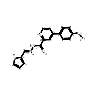 CCOc1ccc(-c2ccnc(C(=O)N/N=C/c3cccs3)c2)cc1